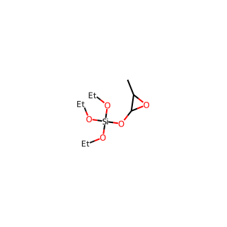 CCO[Si](OCC)(OCC)OC1OC1C